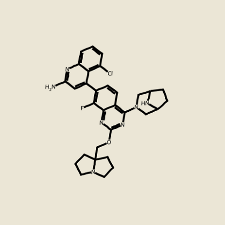 Nc1cc(-c2ccc3c(N4CC5CCC(C4)N5)nc(OCC45CCCN4CCC5)nc3c2F)c2c(Cl)cccc2n1